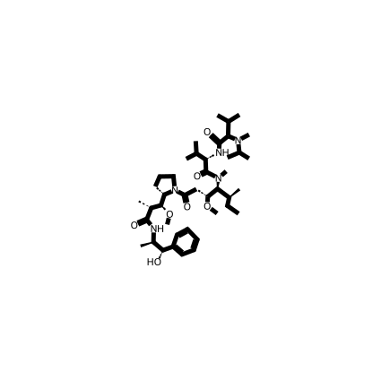 CC[C@H](C)[C@@H]([C@@H](CC(=O)N1CCC[C@H]1[C@H](OC)[C@@H](C)C(=O)N[C@H](C)[C@@H](O)c1ccccc1)OC)N(C)C(=O)[C@@H](NC(=O)C(C(C)C)N(C)C(C)C)C(C)C